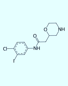 O=C(CC1CNCCO1)Nc1ccc(Cl)c(I)c1